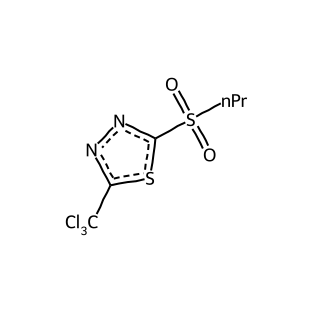 CCCS(=O)(=O)c1nnc(C(Cl)(Cl)Cl)s1